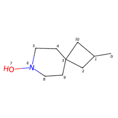 CC1CC2(CCN(O)CC2)C1